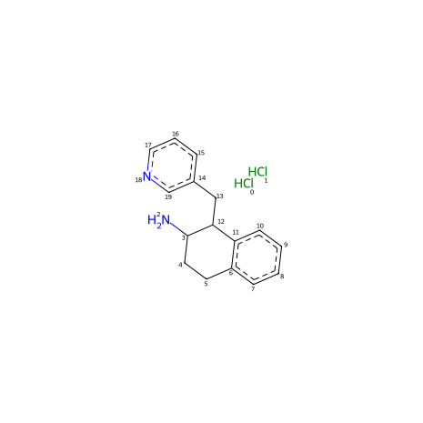 Cl.Cl.NC1CCc2ccccc2C1Cc1cccnc1